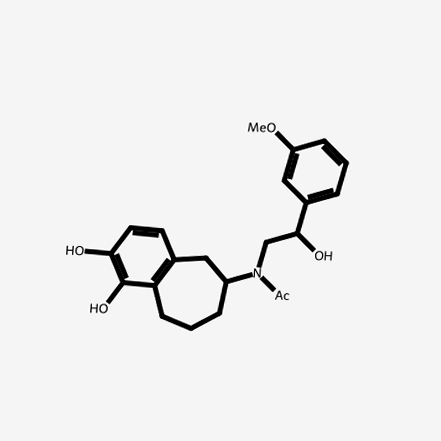 COc1cccc(C(O)CN(C(C)=O)C2CCCc3c(ccc(O)c3O)C2)c1